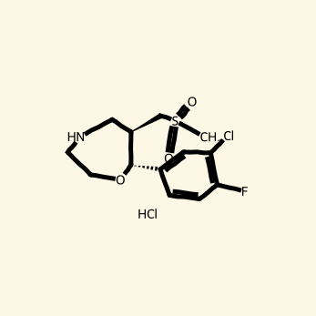 CS(=O)(=O)C[C@@H]1CNCCO[C@H]1c1ccc(F)c(Cl)c1.Cl